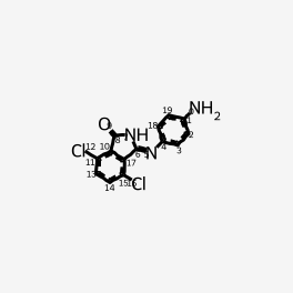 Nc1ccc(N=C2NC(=O)c3c(Cl)ccc(Cl)c32)cc1